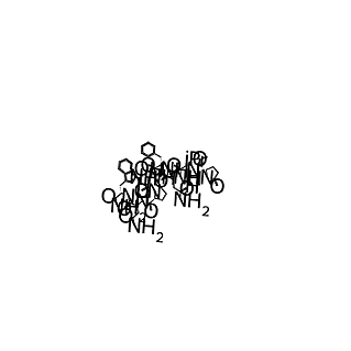 CC(C)[C@H](NC(=O)[C@@H]1CCC(=O)N1)C(=O)N[C@@H](CC(N)=O)C(=O)N[C@@H](Cc1ccccc1)C(=O)N[C@@H](CO)C(=O)N1CCC[C@H]1C(=O)N[C@@H](CC(N)=O)C(=O)N[C@@H](Cc1c[nH]c2ccccc12)C(N)=O